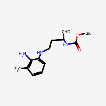 CC(C)(C)OC(=O)NC(C=O)CCNc1cccc(C(F)(F)F)c1N